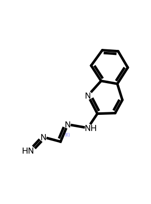 N=N/C=N/Nc1ccc2ccccc2n1